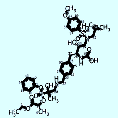 CCOC(=O)[C@H](C)OP(=O)(Oc1ccccc1)C(C)(C)CNCc1ccc(C[C@H](NC(=O)O)[C@H](O)CN(CC(C)C)S(=O)(=O)c2ccc(OC)cc2)cc1